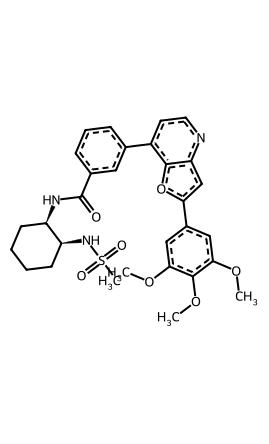 COc1cc(-c2cc3nccc(-c4cccc(C(=O)N[C@@H]5CCCC[C@@H]5NS(C)(=O)=O)c4)c3o2)cc(OC)c1OC